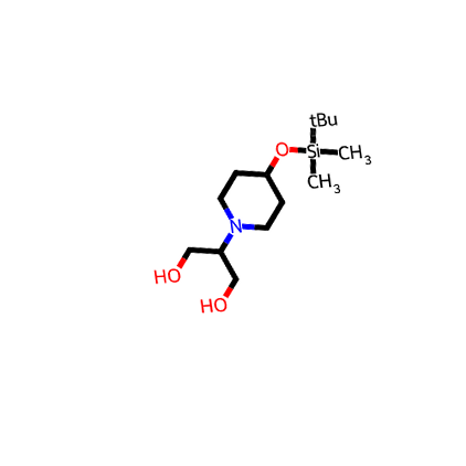 CC(C)(C)[Si](C)(C)OC1CCN(C(CO)CO)CC1